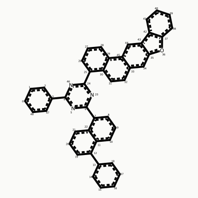 c1ccc(-c2nc(-c3cccc4c(-c5ccccc5)cccc34)nc(-c3cccc4c3ccc3cc5oc6ccccc6c5cc34)n2)cc1